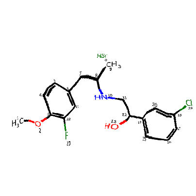 Br.COc1ccc(CC(C)NCC(O)c2cccc(Cl)c2)cc1F